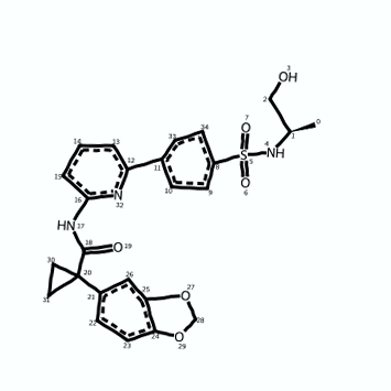 C[C@H](CO)NS(=O)(=O)c1ccc(-c2cccc(NC(=O)C3(c4ccc5c(c4)OCO5)CC3)n2)cc1